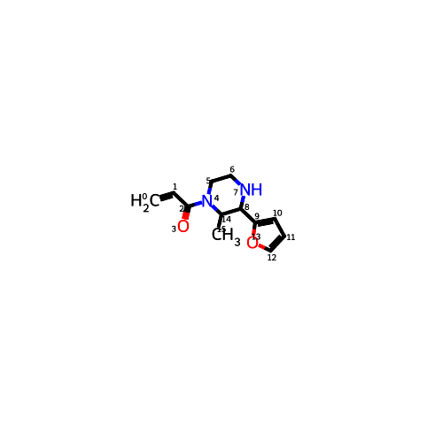 C=CC(=O)N1CCNC(c2ccco2)C1C